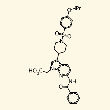 CC(C)Oc1ccc(S(=O)(=O)N2CCC(c3cn(CC(=O)O)c4nc(NC(=O)c5ccccc5)ccc34)CC2)cc1